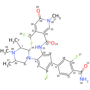 CC1CN(c2cc(F)c(-c3ccc(C(N)=O)c(F)c3)cc2NC(=O)c2cn(C)c(=O)cc2C(F)F)CC(C)N1C